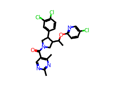 Cc1ncc(C(=O)N2CC(c3ccc(Cl)c(Cl)c3)C(C(C)Oc3ccc(Cl)cn3)C2)c(C)n1